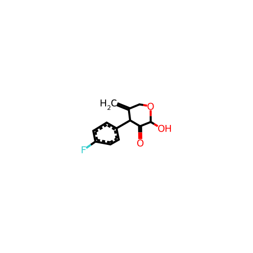 C=C1COC(O)C(=O)C1c1ccc(F)cc1